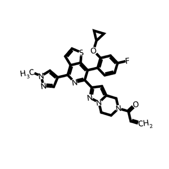 C=CC(=O)N1CCn2nc(-c3nc(-c4cnn(C)c4)c4ccsc4c3-c3ccc(F)cc3OC3CC3)cc2C1